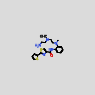 CN(CCN(C=O)CCN)c1ccccc1NC(=O)c1csc(-c2cccs2)n1